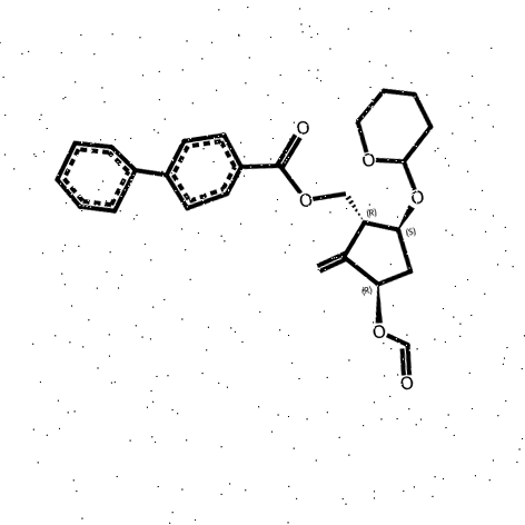 C=C1[C@H](OC=O)C[C@H](OC2CCCCO2)[C@H]1COC(=O)c1ccc(-c2ccccc2)cc1